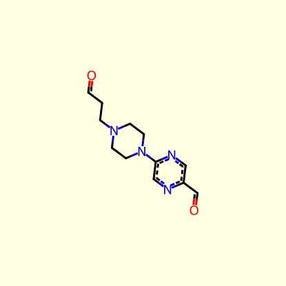 O=CCCN1CCN(c2cnc(C=O)cn2)CC1